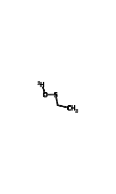 [2H]OSCC